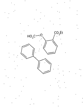 CCOC(=O)c1ccccc1OC(=O)O.c1ccc(-c2ccccc2)cc1